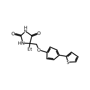 CCC1(COc2ccc(-c3cccs3)cc2)NC(=O)NC1=O